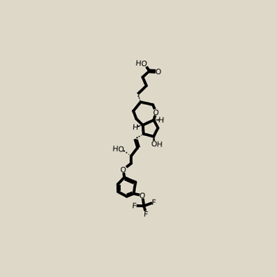 O=C(O)CCC[C@H]1CC[C@@H]2[C@@H](C=C[C@@H](O)COc3cccc(OC(F)(F)F)c3)[C@H](O)C[C@@H]2OC1